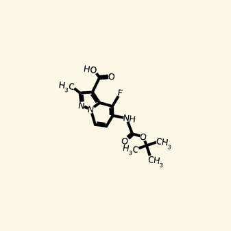 Cc1nn2ccc(NC(=O)OC(C)(C)C)c(F)c2c1C(=O)O